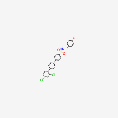 COc1ccc(CNS(=O)(=O)c2ccc(-c3ccc(-c4ccc(Cl)cc4Cl)cc3)cc2)cc1